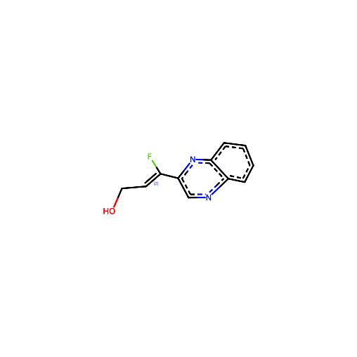 OC/C=C(\F)c1cnc2ccccc2n1